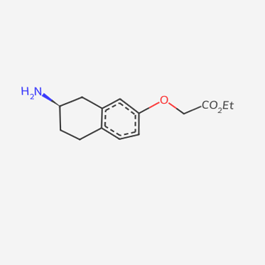 CCOC(=O)COc1ccc2c(c1)C[C@H](N)CC2